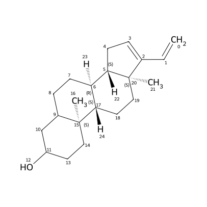 C=CC1=CC[C@H]2[C@@H]3CCC4CC(O)CC[C@]4(C)[C@H]3CC[C@]12C